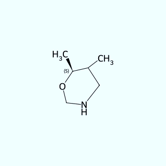 CC1CNCO[C@H]1C